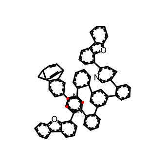 C1=CC2C3C=CC1c1cc(-c4ccc(-c5ccccc5-c5cc(-c6ccccc6-c6ccc(-c7cccc8c7oc7ccccc78)nc6)cc(-c6ccccc6-c6ccc(-c7cccc8c7oc7ccccc78)nc6)c5)cn4)ccc1C23